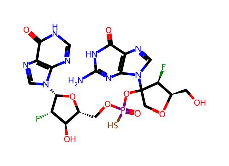 Nc1nc2c(ncn2C2(OP(=O)(S)OC[C@H]3O[C@@H](n4cnc5c(=O)[nH]cnc54)[C@@H](F)[C@@H]3O)CO[C@H](CO)[C@@H]2F)c(=O)[nH]1